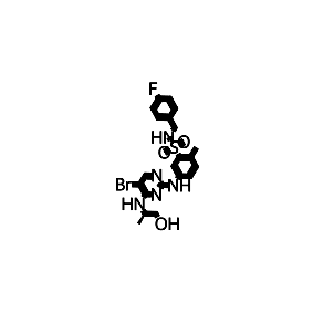 Cc1ccc(Nc2ncc(Br)c(N[C@H](C)CO)n2)cc1S(=O)(=O)NCc1ccc(F)cc1